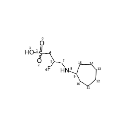 O=S(=O)(O)CC(F)CNC1CCCCCC1